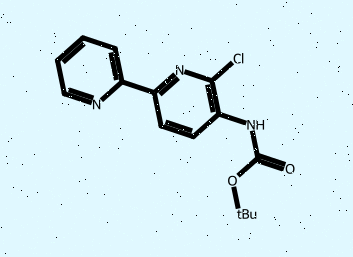 CC(C)(C)OC(=O)Nc1ccc(-c2ccccn2)nc1Cl